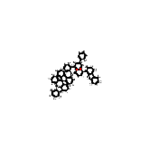 c1ccc(-c2cccc(-c3ccccc3N(c3ccc(-c4cccc5c4sc4ccccc45)cc3)c3cccc4c3-c3ccccc3C43c4ccccc4-n4c5ccccc5c5cccc3c54)c2)cc1